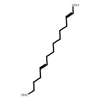 CCCCCCCC/C=C/CCCCCC/C=C/CCC[C]=O